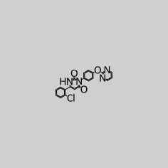 O=c1cc(-c2ccccc2Cl)[nH]c(=O)n1-c1ccc(Oc2ncccn2)cc1